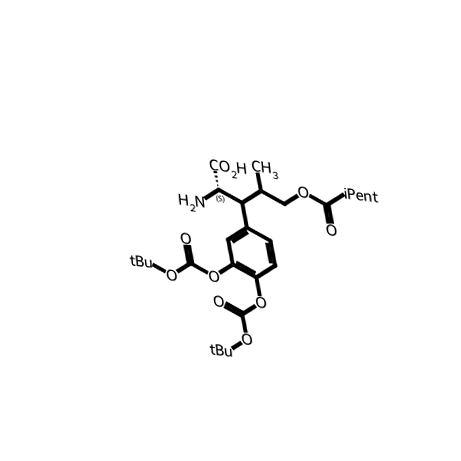 CCCC(C)C(=O)OCC(C)C(c1ccc(OC(=O)OC(C)(C)C)c(OC(=O)OC(C)(C)C)c1)[C@H](N)C(=O)O